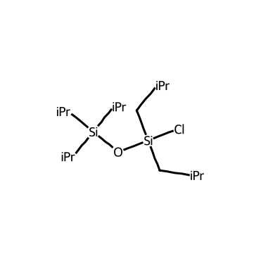 CC(C)C[Si](Cl)(CC(C)C)O[Si](C(C)C)(C(C)C)C(C)C